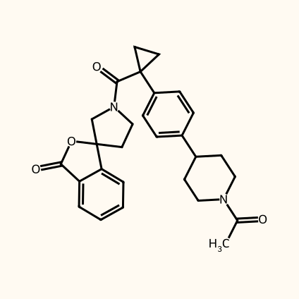 CC(=O)N1CCC(c2ccc(C3(C(=O)N4CCC5(C4)OC(=O)c4ccccc45)CC3)cc2)CC1